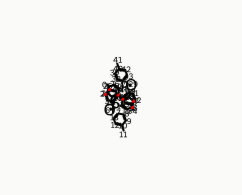 Cc1ccc(P(=O)(c2ccc(C)cc2)c2cccc(C)c2-c2c(C)cccc2P(=O)(c2ccc(C)cc2)c2ccc(C)cc2)cc1